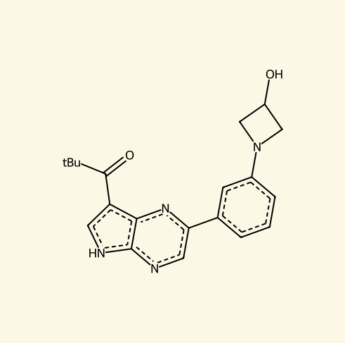 CC(C)(C)C(=O)c1c[nH]c2ncc(-c3cccc(N4CC(O)C4)c3)nc12